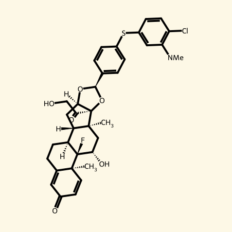 CNc1cc(Sc2ccc([C@@H]3O[C@@H]4C[C@H]5[C@@H]6CCC7=CC(=O)C=C[C@]7(C)[C@@]6(F)[C@@H](O)C[C@]5(C)[C@]4(C(=O)CO)O3)cc2)ccc1Cl